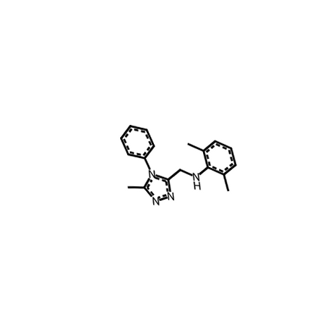 Cc1cccc(C)c1NCc1nnc(C)n1-c1ccccc1